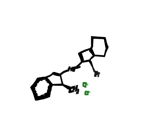 CC1[C]([Hf+2][C]2=CC3=C(CCCC3)C2C(C)C)=Cc2ccccc21.[Cl-].[Cl-]